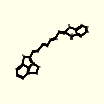 C(=CC=Cc1sc2cccc3c2[n+]1CC3)C=CC=C1Nc2ccccc2S1